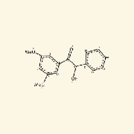 COc1cc(OC)cc(C(=O)C(O)c2ccccc2)c1